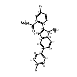 CNC(=O)c1cc(F)ccc1-c1nc2cc(-c3cnc(C)nc3)ccc2n1C(C)(C)C